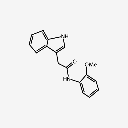 COc1ccccc1NC(=O)Cc1c[nH]c2ccccc12